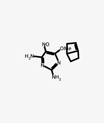 C1=C2CCC2C1.COc1nc(N)nc(N)c1N=O